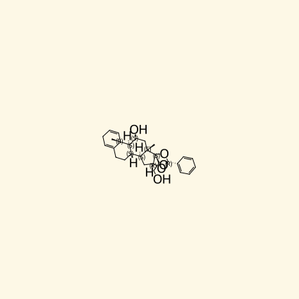 C[C@]12C=CCC=C1CC[C@@H]1[C@@H]2[C@@H](O)C[C@@]2(C)[C@H]1C[C@H]1O[C@@H](c3ccccc3)O[C@]12C(=O)CO